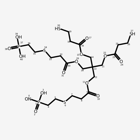 O=NP(=O)(O)CCSCCC(=O)OCC(COC(=O)CCS)(COC(=O)CCS)COC(=O)CCSCCP(=O)(O)O